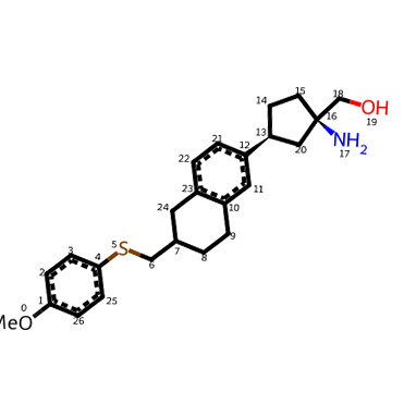 COc1ccc(SCC2CCc3cc([C@H]4CC[C@](N)(CO)C4)ccc3C2)cc1